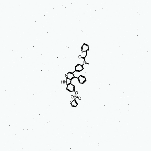 CN(C(=O)Cc1ccccn1)c1ccc(-c2cnc3[nH]c4ccc(OS(=O)(=O)c5cccs5)cc4c3c2-c2ccccc2)cc1